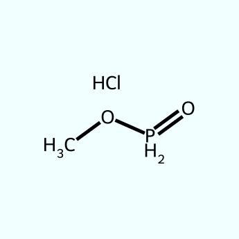 CO[PH2]=O.Cl